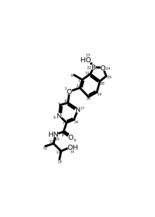 Cc1c(Oc2cnc(C(=O)NC(C)C(C)O)cn2)ccc2c1B(O)OC2